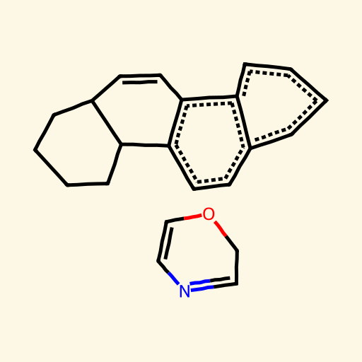 C1=CC2CCCCC2c2ccc3ccccc3c21.C1=COCC=N1